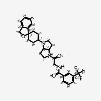 O=C(NCC(=O)N1CCC2C1CCN2C1CCC2(CC1)OCc1ccccc12)c1cccc(C(F)(F)F)c1